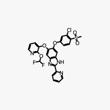 CS(=O)(=O)c1ccc(Oc2cc3[nH]c(-c4ccccn4)nc3cc2Oc2cccnc2OC(F)F)cc1Cl